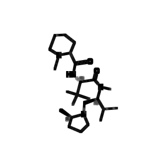 CC(C)[C@@H](CN1CCC[C@H]1C)N(C)C(=O)[C@@H](NC(=O)C1CCCCN1C)C(C)(C)C